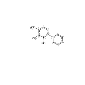 Pc1ccc(-c2ccccc2)c(Cl)c1Cl